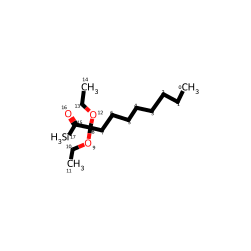 CCCCCCCCC(OCC)(OCC)C(=O)[SiH3]